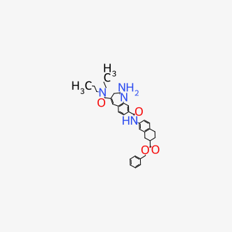 CCCN(CCC)C(=O)C1=Cc2ccc(C(=O)Nc3ccc4c(c3)CC(C(=O)OCc3ccccc3)CC4)cc2N=C(N)C1